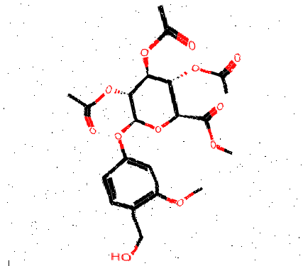 COC(=O)[C@H]1O[C@@H](Oc2ccc(CO)c(OC)c2)[C@H](OC(C)=O)[C@@H](OC(C)=O)[C@@H]1OC(C)=O